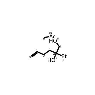 C=CCCC(O)(CC)CO.CC(C)=O